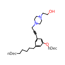 CCCCCCCCCCCCCCCc1cc(C#CCN2CCN(CCO)CC2)cc(OCCCCCCCCCC)c1